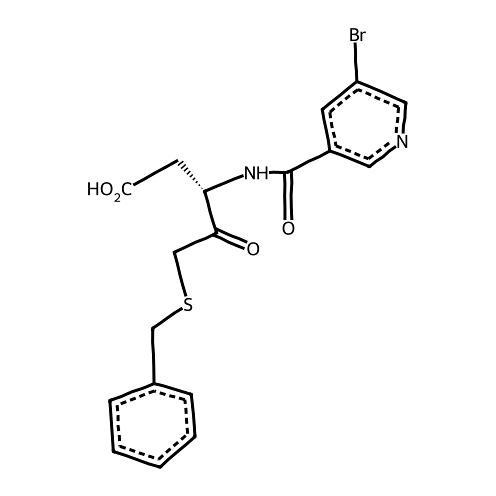 O=C(O)C[C@H](NC(=O)c1cncc(Br)c1)C(=O)CSCc1ccccc1